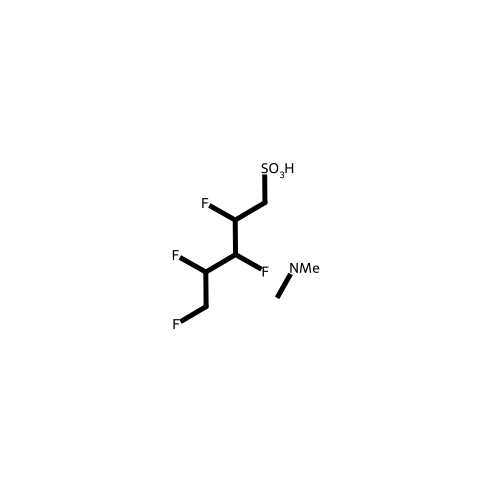 CNC.O=S(=O)(O)CC(F)C(F)C(F)CF